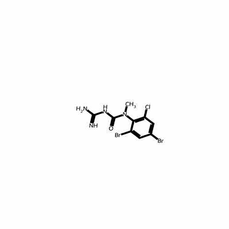 CN(C(=O)NC(=N)N)c1c(Cl)cc(Br)cc1Br